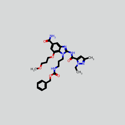 CCn1nc(C)cc1C(=O)Nc1nc2cc(C(N)=O)cc(OCCCOC)c2n1CCCNC(=O)OCc1ccccc1